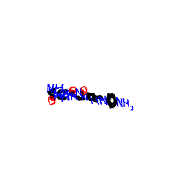 CC(C)(N)C(=O)N1CCN(C(=O)Nc2ccn(-c3ccc(CN[C@H]4CC[C@@H](N)CC4)cc3)c(=O)n2)CC1